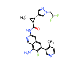 Cc1ccncc1-c1cc2cc(NC(=O)[C@H]3[C@H](C)[C@@H]3c3cnn(CC(F)F)c3)ncc2c(N)c1F